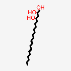 CCCCCC=CCC=CCCCCCCC[C@@H](O)C[C@@H](O)CO